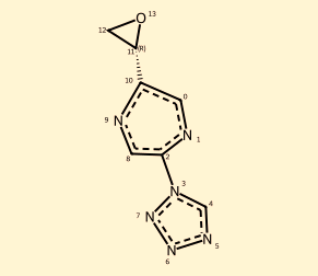 c1nc(-n2cnnn2)cnc1[C@@H]1CO1